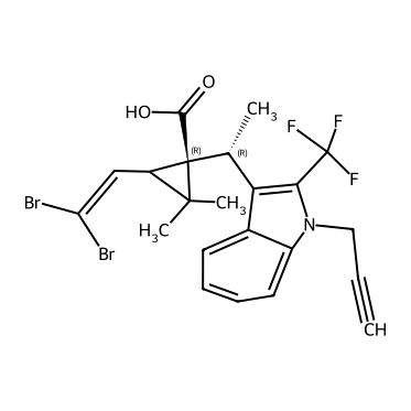 C#CCn1c(C(F)(F)F)c([C@@H](C)[C@@]2(C(=O)O)C(C=C(Br)Br)C2(C)C)c2ccccc21